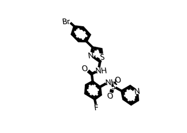 O=C(Nc1nc(-c2ccc(Br)cc2)cs1)c1ccc(F)cc1NS(=O)(=O)c1cccnc1